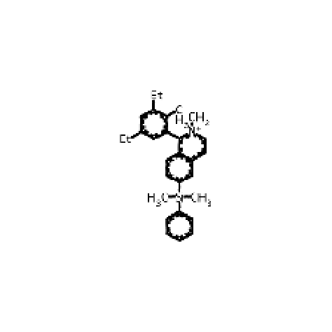 CCc1cc(CC)c(C)c(-c2c3ccc([Si](C)(C)c4ccccc4)cc3cc[n+]2C)c1